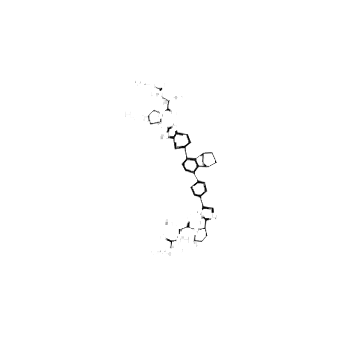 COC(=O)N[C@H](C(=O)N1C[C@@H](C)C[C@H]1c1nc2ccc(-c3ccc(-c4ccc(-c5cnc(C6CC[C@H](C)N6C(=O)[C@@H](NC(=O)OC)C(C)C)[nH]5)cc4)c4c3C3CCC4C3)cc2[nH]1)C(C)C